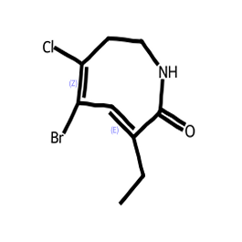 CC/C1=C\C(Br)=C(\Cl)CCNC1=O